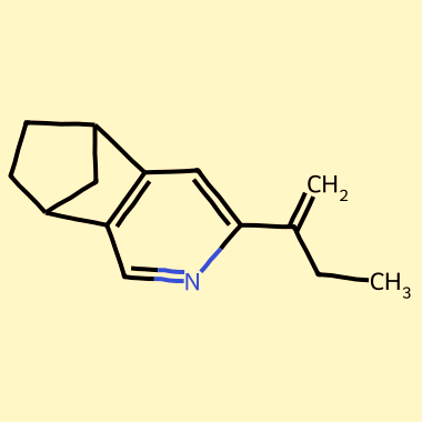 C=C(CC)c1cc2c(cn1)C1CCC2C1